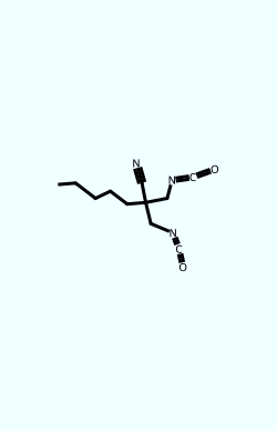 CCCCCC(C#N)(CN=C=O)CN=C=O